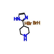 Br.Br.c1c[nH]c(C2CCNCC2)n1